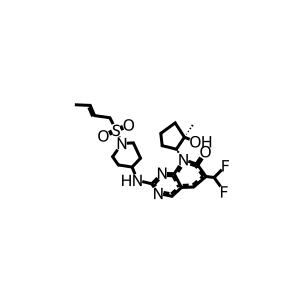 C/C=C/CS(=O)(=O)N1CCC(Nc2ncc3cc(C(F)F)c(=O)n([C@@H]4CCC[C@@]4(C)O)c3n2)CC1